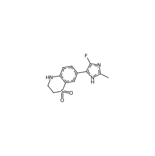 Cc1nc(F)c(-c2ccc3c(c2)S(=O)(=O)CCN3)[nH]1